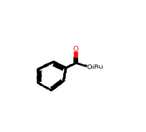 CC(C)COC(=O)c1[c]cccc1